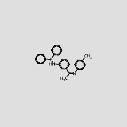 CC(=Nc1ccc(C)cc1)c1cccc(NP(c2ccccc2)c2ccccc2)c1